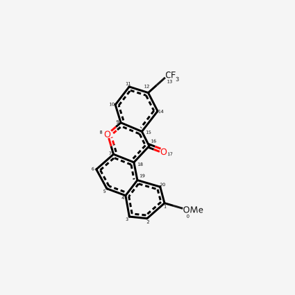 COc1ccc2ccc3oc4ccc(C(F)(F)F)cc4c(=O)c3c2c1